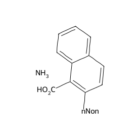 CCCCCCCCCc1ccc2ccccc2c1C(=O)O.N